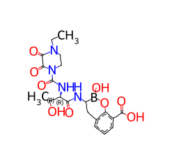 CCN1CCN(C(=O)N[C@@H](C(=O)NC2Cc3cccc(C(=O)O)c3OB2O)[C@@H](C)O)C(=O)C1=O